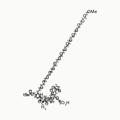 COCCOCCOCCOCCOCCOCCOCCOCCOCCOCCOCCOCCOCCOCCOCCOCCOCCCc1cc(NC(=O)[C@H](C)NC(=O)[C@@H](NC(=O)CN2C(=O)[C@@H](N3C(=O)C=CC3=O)C[C@H]2COCCS(=O)(=O)O)C(C)C)ccc1COC(=O)C(C)(C)C